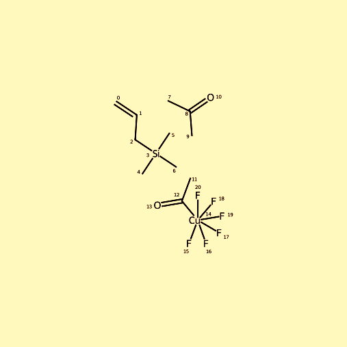 C=CC[Si](C)(C)C.CC(C)=O.C[C](=O)[Cu]([F])([F])([F])([F])([F])[F]